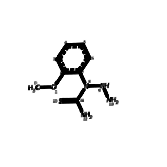 COc1ccccc1N(NN)C(N)=S